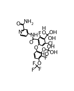 NC(=O)c1cc(NC(=O)c2c(Oc3ccc(OC(F)(F)F)c(F)c3OC(O)(O)O)cc(Cl)c(C(O)(O)O)c2F)ccn1